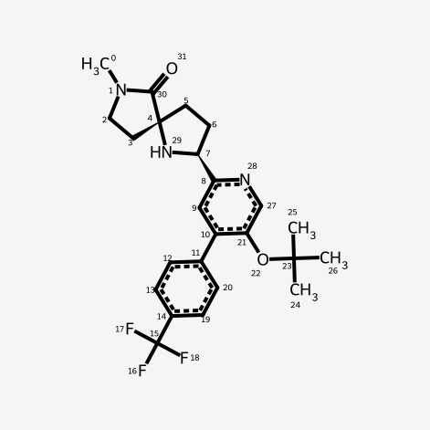 CN1CC[C@]2(CC[C@@H](c3cc(-c4ccc(C(F)(F)F)cc4)c(OC(C)(C)C)cn3)N2)C1=O